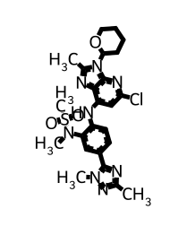 Cc1nc(-c2ccc(Nc3cc(Cl)nc4c3nc(C)n4C3CCCCO3)c(N(C)S(C)(=O)=O)c2)n(C)n1